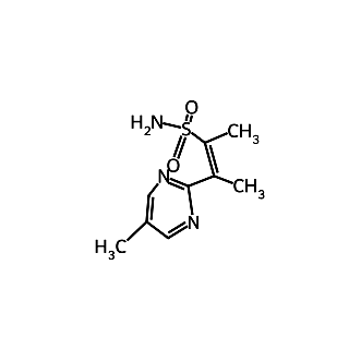 CC(=C(C)S(N)(=O)=O)c1ncc(C)cn1